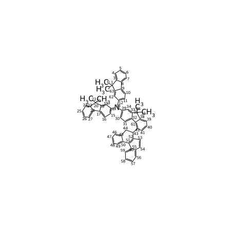 CC1(C)c2ccccc2-c2ccc(N(c3ccc4c(c3)C(C)(C)c3ccccc3-4)c3ccc4c(c3)C(C)(C)c3cccc(C5Cc6ccccc6-c6c5ccc5ccccc65)c3-4)cc21